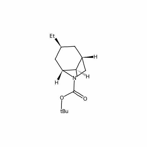 CC[C@H]1C[C@@H]2CN(C(=O)OC(C)(C)C)[C@H](C1)[C@@H]2C